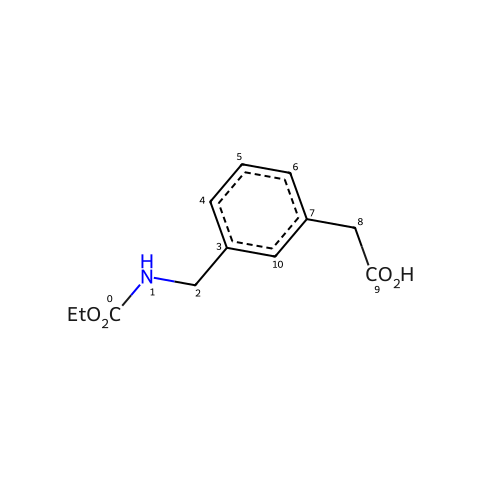 CCOC(=O)NCc1cccc(CC(=O)O)c1